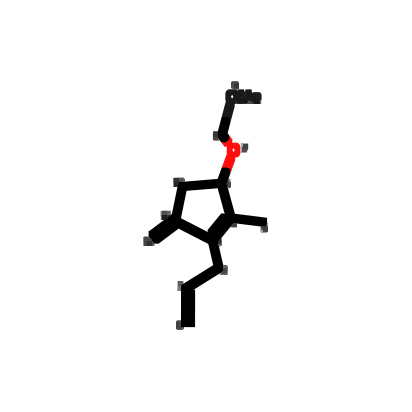 C=CCC1=C(C)C(OCOC)CC1=C